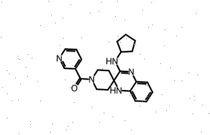 O=C(c1cccnc1)N1CCC2(CC1)Nc1ccccc1N=C2NC1CCCC1